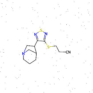 N#CCCSc1nsnc1C1CN2CCCC1C2